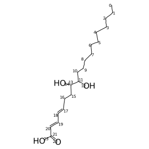 CCCCCCCCCCCC(O)C(O)CCC=CC=CC(=O)O